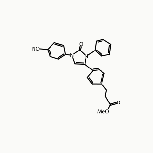 COC(=O)CCc1ccc(-c2cn(-c3ccc(C#N)cc3)c(=O)n2-c2ccccc2)cc1